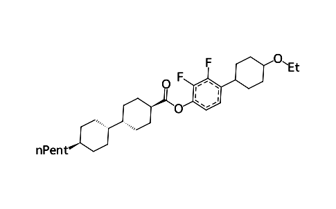 CCCCC[C@H]1CC[C@H]([C@H]2CC[C@H](C(=O)Oc3ccc(C4CCC(OCC)CC4)c(F)c3F)CC2)CC1